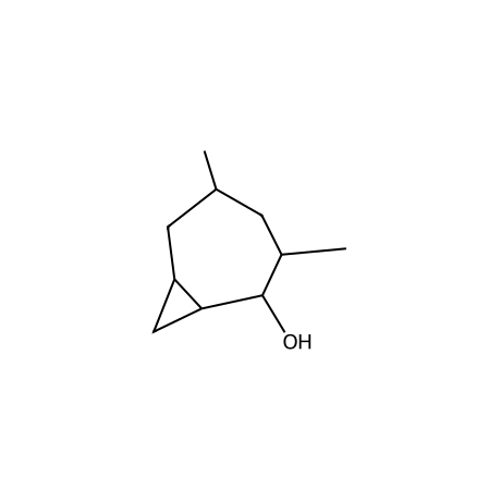 CC1CC(C)C(O)C2CC2C1